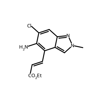 CCOC(=O)/C=C/c1c(N)c(Cl)cc2nn(C)cc12